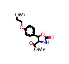 COCCOc1ccc(C2OC(=O)NC2C(=O)OC)cc1